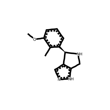 COc1cccc([C@H]2NCc3[nH]ncc32)c1C